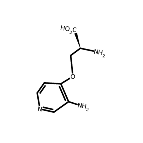 Nc1cnccc1OC[C@H](N)C(=O)O